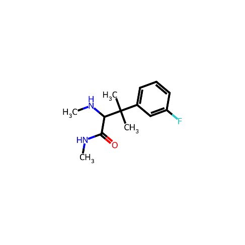 CNC(=O)C(NC)C(C)(C)c1cccc(F)c1